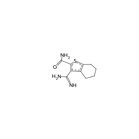 N=C(N)c1c(C(N)=O)sc2c1CCCC2